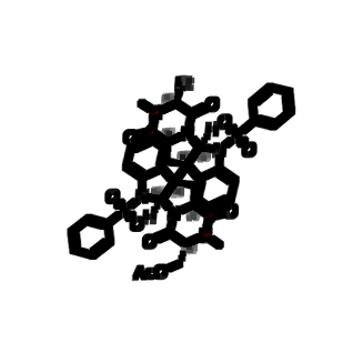 CC[C@]12SS[C@@]3(C[C@]4([C@]56C[C@@]78SS[C@@](COC(C)=O)(C(=O)N7[C@H]5N(S(=O)(=O)c5ccccc5)c5ccccc56)N(C)C8=O)c5ccccc5N(S(=O)(=O)c5ccccc5)[C@@H]4N3C1=O)C(=O)N2C